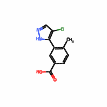 Cc1ccc(C(=O)O)cc1-c1[nH]ncc1Cl